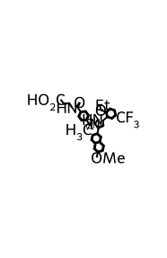 CCOc1ccc(C(F)(F)F)cc1C1C=C(c2ccc3cc(OC)ccc3c2)N([C@@H](C)c2ccc(C(=O)NCCC(=O)O)cc2)N1